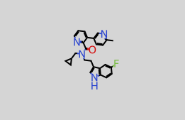 Cc1ccc(-c2cccnc2C(=O)N(CCc2c[nH]c3ccc(F)cc23)CC2CC2)cn1